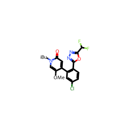 CCC(C)n1cc(OC)c(-c2cc(Cl)ccc2-c2nnc(C(F)F)o2)cc1=O